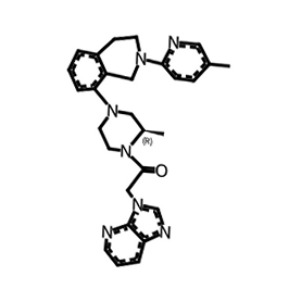 Cc1ccc(N2CCc3cccc(N4CCN(C(=O)Cn5cnc6cccnc65)[C@H](C)C4)c3C2)nc1